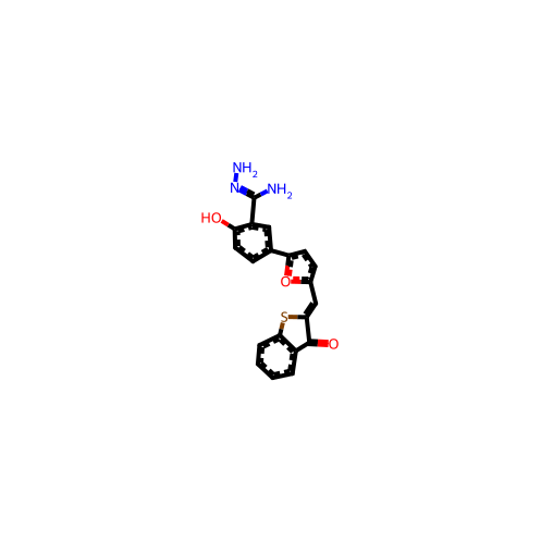 N/N=C(\N)c1cc(-c2ccc(/C=C3\Sc4ccccc4C3=O)o2)ccc1O